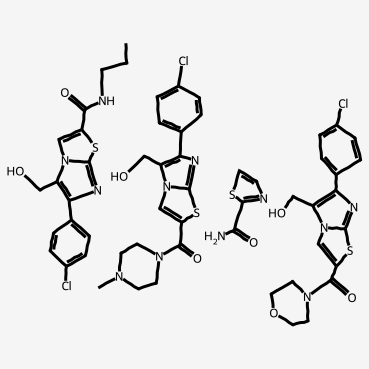 CCCNC(=O)c1cn2c(CO)c(-c3ccc(Cl)cc3)nc2s1.CN1CCN(C(=O)c2cn3c(CO)c(-c4ccc(Cl)cc4)nc3s2)CC1.NC(=O)c1nccs1.O=C(c1cn2c(CO)c(-c3ccc(Cl)cc3)nc2s1)N1CCOCC1